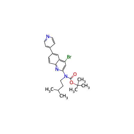 CC(C)CCN(C(=O)OC(C)(C)C)c1cc(Br)c2cc(-c3ccncc3)ccc2n1